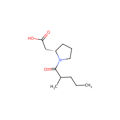 CCCC(C)C(=O)N1CCC[C@H]1CC(=O)O